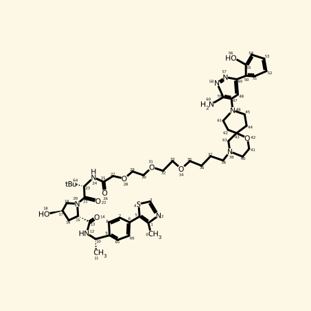 Cc1ncsc1-c1ccc([C@H](C)NC(=O)[C@@H]2C[C@@H](O)CN2C(=O)[C@@H](NC(=O)COCCOCCOCCCCN2CCOC3(CCN(c4cc(-c5ccccc5O)nnc4N)CC3)C2)C(C)(C)C)cc1